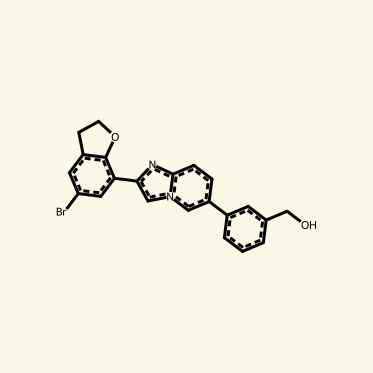 OCc1cccc(-c2ccc3nc(-c4cc(Br)cc5c4OCC5)cn3c2)c1